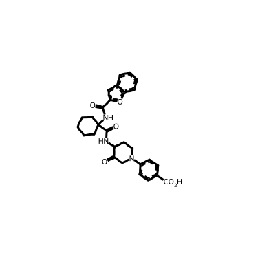 O=C(O)c1ccc(N2CCC(NC(=O)C3(NC(=O)c4cc5ccccc5o4)CCCCC3)C(=O)C2)cc1